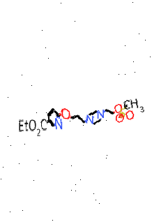 CCOC(=O)c1ccc(OCCCN2CCN(CCOS(C)(=O)=O)CC2)nc1